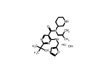 CC(C)CN(C(=O)c1cnc(C(C)(C)C)nc1NCc1ccco1)C1CCCNC1.Cl.Cl